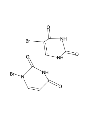 O=c1[nH]cc(Br)c(=O)[nH]1.O=c1ccn(Br)c(=O)[nH]1